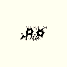 CC(=O)Nc1cc(O)ccc1[As](=O)(O)OS(=O)(=O)c1ccc(O)c(N)c1